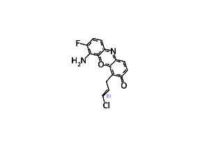 Nc1c(F)ccc2nc3ccc(=O)c(C/C=C/Cl)c-3oc12